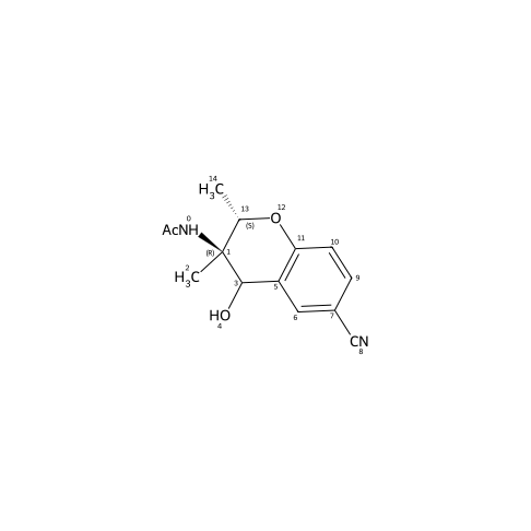 CC(=O)N[C@]1(C)C(O)c2cc(C#N)ccc2O[C@H]1C